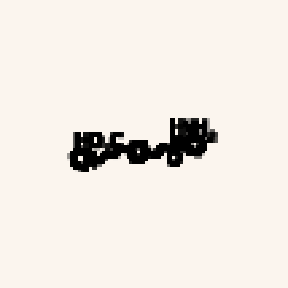 Nc1ccccc1NC(=O)/C=C/c1ccc(C(CCCN2CCCCC2)C(=O)O)cc1